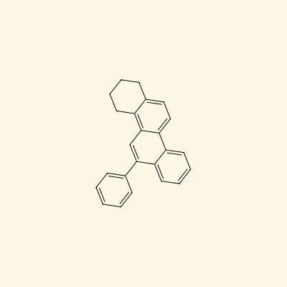 c1ccc(-c2cc3c4c(ccc3c3ccccc23)CCCC4)cc1